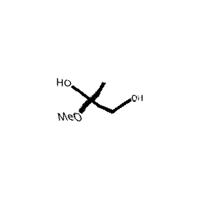 COC(C)(O)CO